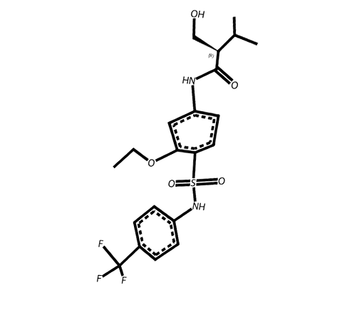 CCOc1cc(NC(=O)[C@@H](CO)C(C)C)ccc1S(=O)(=O)Nc1ccc(C(F)(F)F)cc1